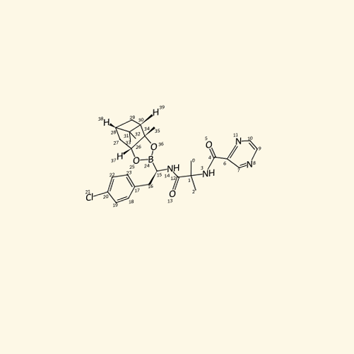 CC(C)(NC(=O)c1cnccn1)C(=O)N[C@@H](Cc1ccc(Cl)cc1)B1O[C@@H]2C[C@@H]3C[C@@H](C3(C)C)[C@]2(C)O1